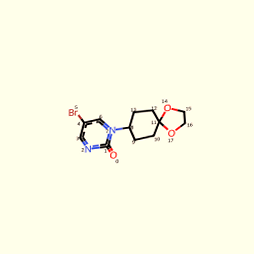 O=c1ncc(Br)cn1C1CCC2(CC1)OCCO2